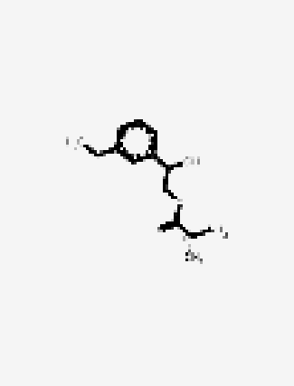 CCc1cccc(C(O)COC(=O)[C@@H](C)N)c1